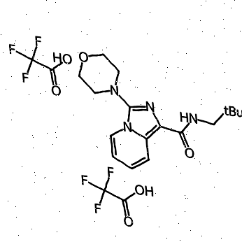 CC(C)(C)CNC(=O)c1nc(N2CCOCC2)n2ccccc12.O=C(O)C(F)(F)F.O=C(O)C(F)(F)F